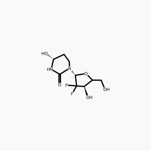 O=C1N[C@H](O)CCN1[C@@H]1OC(CO)[C@@H](O)C1(F)F